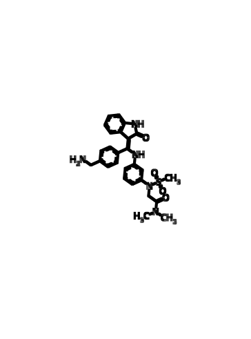 CN(C)C(=O)CN(c1cccc(N/C(=C2\C(=O)Nc3ccccc32)c2ccc(CN)cc2)c1)S(C)(=O)=O